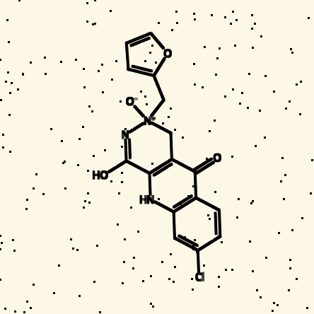 O=c1c2c([nH]c3cc(Cl)ccc13)C(O)=N[N+]([O-])(Cc1ccco1)C2